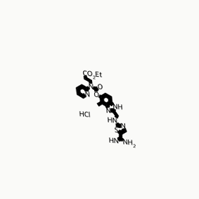 CCOC(=O)CCN(C(=O)Oc1ccc2[nH]c(CNc3ncc(C(=N)N)s3)nc2c1C)c1ccccn1.Cl